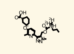 [2H]C([2H])([2H])N(CCC)C(=O)OCc1c(-c2ccc(O[C@H]3CCC[C@H](C(=O)O)C3)c(C)n2)nnn1C